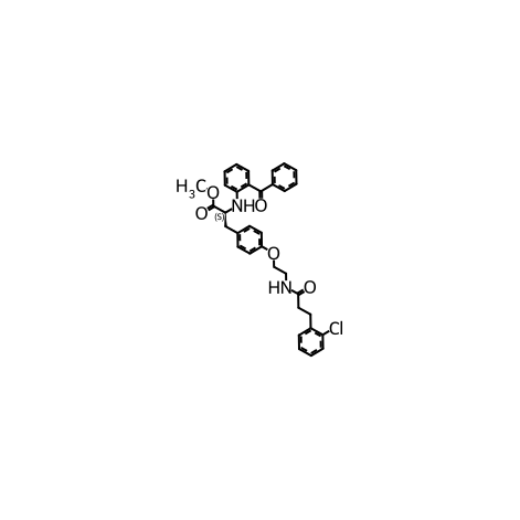 COC(=O)[C@H](Cc1ccc(OCCNC(=O)CCc2ccccc2Cl)cc1)Nc1ccccc1C(=O)c1ccccc1